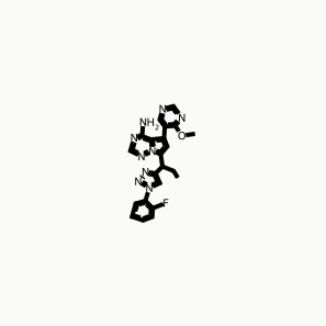 CCC(c1cn(-c2ccccc2F)nn1)c1cc(-c2cncnc2OC)c2c(N)ncnn12